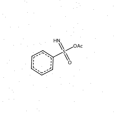 CC(=O)OS(=N)(=O)c1ccccc1